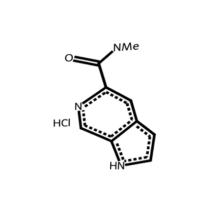 CNC(=O)c1cc2cc[nH]c2cn1.Cl